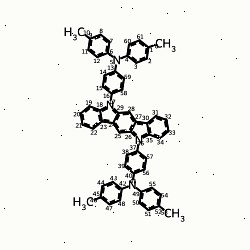 Cc1ccc(N(c2ccc(C)cc2)c2ccc(-n3c4ccccc4c4cc5c(cc43)c3ccccc3n5-c3ccc(N(c4ccc(C)cc4)c4ccc(C)cc4)cc3)cc2)cc1